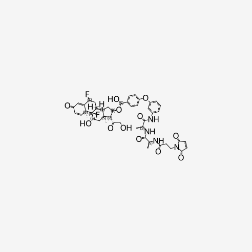 C[C@H](NC(=O)CCN1C(=O)C=CC1=O)C(=O)N[C@@H](C)C(=O)Nc1cccc(Oc2ccc([C@@H](O)O[C@@H]3C[C@H]4[C@@H]5C[C@H](F)C6=CC(=O)C=C[C@]6(C)[C@@]5(F)[C@@H](O)C[C@]4(C)[C@H]3C(=O)CO)cc2)c1